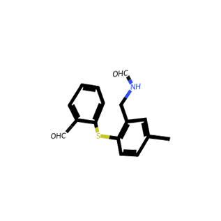 Cc1ccc(Sc2ccccc2C=O)c(CNC=O)c1